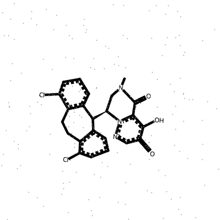 CN1C[C@H](C2c3cccc(Cl)c3CCc3c(Cl)cccc32)n2ncc(=O)c(O)c2C1=O